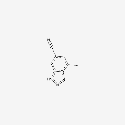 N#Cc1cc(F)c2cn[nH]c2c1